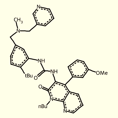 CCCCn1c(=O)c(NC(=O)Nc2cc(CN(C)Cc3cccnc3)ccc2C(C)(C)C)c(-c2cccc(OC)c2)c2cccnc21